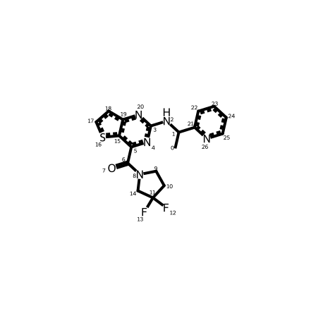 CC(Nc1nc(C(=O)N2CCC(F)(F)C2)c2sccc2n1)c1ccccn1